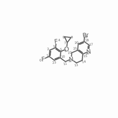 Fc1cc(F)c(OC2CC2)c(CN2CCc3ncc(Br)cc3C2)c1